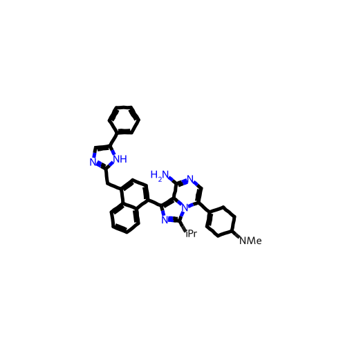 CNC1CC=C(c2cnc(N)c3c(-c4ccc(Cc5ncc(-c6ccccc6)[nH]5)c5ccccc45)nc(C(C)C)n23)CC1